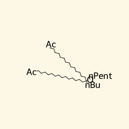 CCCCCOC(CCCC)(CCCCCCCCCCCCCCC(C)=O)CCCCCCCCCCCCCCC(C)=O